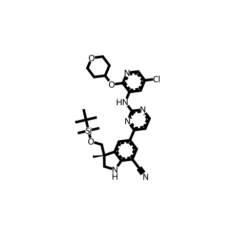 CC(C)(C)[Si](C)(C)OC[C@@]1(C)CNc2c(C#N)cc(-c3ccnc(Nc4cc(Cl)cnc4OC4CCOCC4)n3)cc21